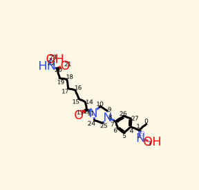 C/C(=N\O)c1ccc(N2CCN(C(=O)CCCCCCC(=O)NO)CC2)cc1